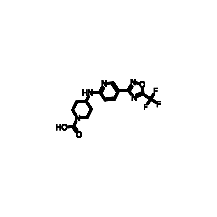 O=C(O)N1CCC(Nc2ccc(-c3noc(C(F)(F)F)n3)cn2)CC1